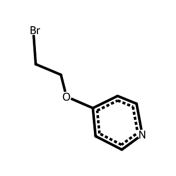 BrCCOc1ccncc1